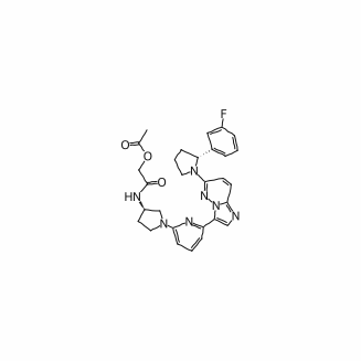 CC(=O)OCC(=O)N[C@@H]1CCN(c2cccc(-c3cnc4ccc(N5CCC[C@@H]5c5cccc(F)c5)nn34)n2)C1